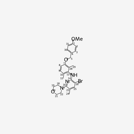 COc1ccc(COc2ccc(C)c(Nc3nc(N4CCOCC4)c(C)cc3Br)c2C)cc1